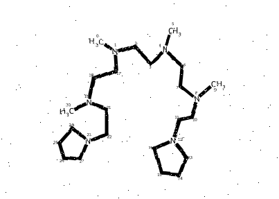 CN(CCN(C)CCN(C)CCN1CCCC1)CCN(C)CCN1CCCC1